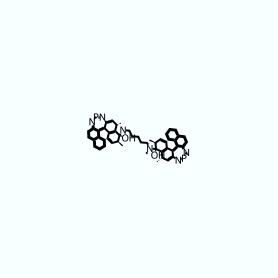 C[C@H]1C=C2N=PN=c3ccc4ccccc4c3=C2C2=C1[C@](O)(N(C)CCCCCN(C)[C@@]1(O)C3=C(C=C[C@@H]1C)C1=c4c(ccc5ccccc45)=NP=NC1=C[C@@H]3C)[C@@H](C)C=C2